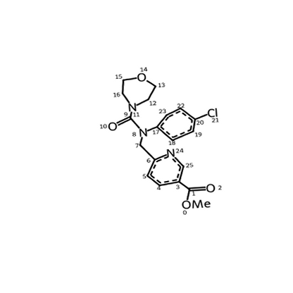 COC(=O)c1ccc(CN(C(=O)N2CCOCC2)c2ccc(Cl)cc2)nc1